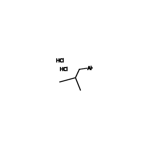 CC(C)[CH2][Al].Cl.Cl